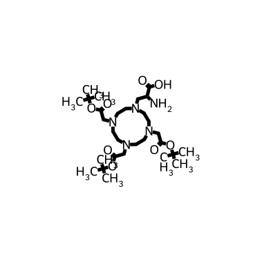 CC(C)(C)OC(=O)CN1CCN(CC(=O)OC(C)(C)C)CCN(CC(N)C(=O)O)CCN(CC(=O)OC(C)(C)C)CC1